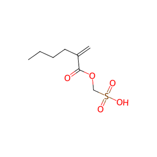 C=C(CCCC)C(=O)OCS(=O)(=O)O